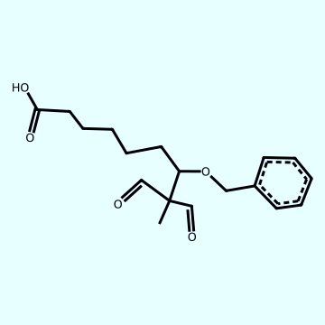 CC(C=O)(C=O)C(CCCCCC(=O)O)OCc1ccccc1